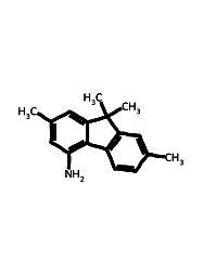 Cc1ccc2c(c1)C(C)(C)c1cc(C)cc(N)c1-2